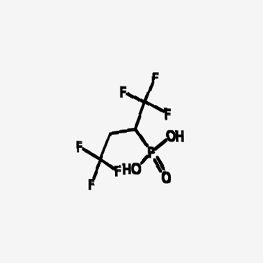 O=P(O)(O)C(CC(F)(F)F)C(F)(F)F